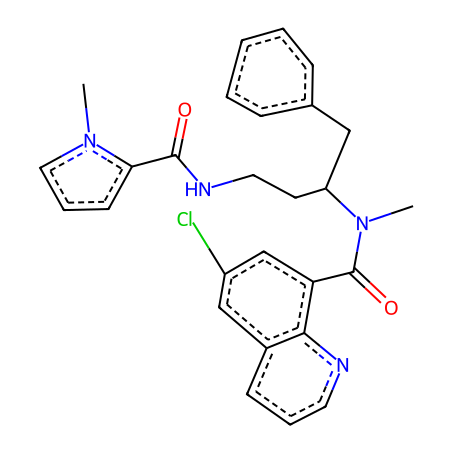 CN(C(=O)c1cc(Cl)cc2cccnc12)C(CCNC(=O)c1cccn1C)Cc1ccccc1